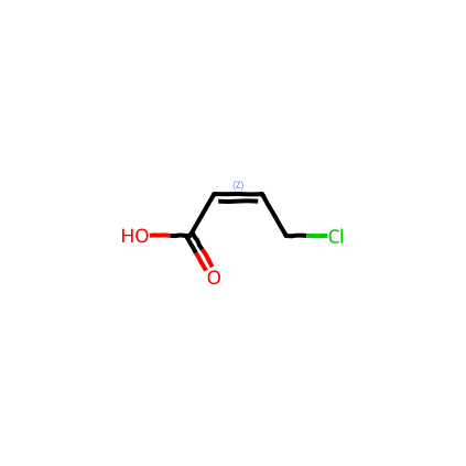 O=C(O)/C=C\CCl